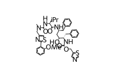 COc1ccccc1-c1nc(CN(C)C(=O)N[C@H](C(=O)N[C@@H](Cc2ccccc2)C[C@H](O)[C@H](Cc2ccccc2)NC(=O)OCc2cncs2)C(C)C)cs1